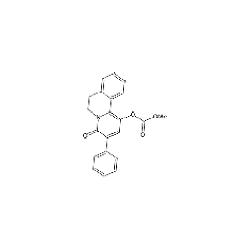 COC(=O)Oc1cc(-c2ccccc2)c(=O)n2c1-c1ccccc1CC2